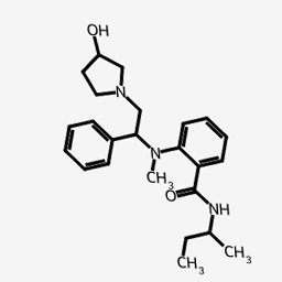 CCC(C)NC(=O)c1ccccc1N(C)C(CN1CCC(O)C1)c1ccccc1